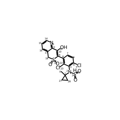 CC1(N(c2c(Cl)ccc(C3=C(O)c4ncccc4CS3(=O)=O)c2Cl)[SH](=O)=O)CC1